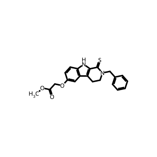 COC(=O)COc1ccc2[nH]c3c(c2c1)CCN(Cc1ccccc1)C3=S